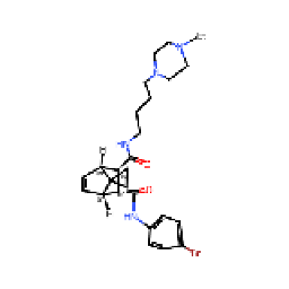 CCN1CCN(CCCCNC(=O)[C@H]2[C@H](C(=O)Nc3ccc(Br)cc3)[C@@H]3C=C[C@H]2C32CC2)CC1